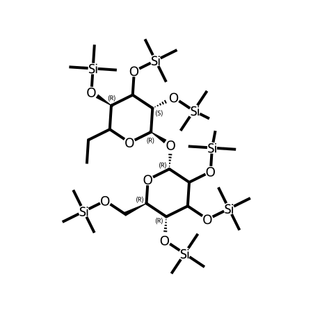 CCC1O[C@H](O[C@H]2O[C@H](CO[Si](C)(C)C)[C@@H](O[Si](C)(C)C)C(O[Si](C)(C)C)C2O[Si](C)(C)C)[C@@H](O[Si](C)(C)C)C(O[Si](C)(C)C)[C@@H]1O[Si](C)(C)C